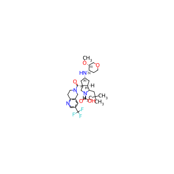 CO[C@@H]1COCC[C@@H]1N[C@@H]1C[C@H]2C(CC(C)(C)C)N(C(=O)O)C[C@@]2(C(=O)N2CCc3ncc(C(F)(F)F)cc3C2)C1